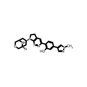 Cn1cc(-c2ccc(-c3cc4c(nn3)N([C@@H]3CC5COC[C@@H](C3)N5)CC4)c(O)c2)cn1